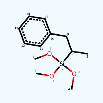 CO[Si](OC)(OC)C(C)Cc1ccccc1